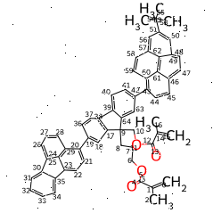 C=C(C)C(=O)OCCCC1(COC(=O)C(=C)C)c2cc(-c3ccc4c5c(cccc35)-c3ccccc3-4)ccc2-c2ccc(-c3ccc4ccc5cc(C(C)(C)C)cc6ccc3c4c56)cc21